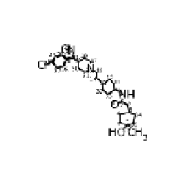 CC1(O)CCC(CC(=O)NC2CCC(CCN3CCC(c4noc5cc(Cl)ccc45)CC3)CC2)CC1